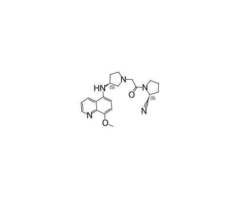 COc1ccc(N[C@H]2CCN(CC(=O)N3CCC[C@H]3C#N)C2)c2cccnc12